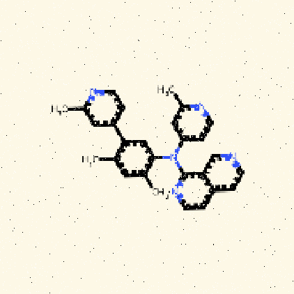 [CH2]c1cc(C)c(-c2ccnc(C)c2)cc1N(c1ccnc(C)c1)c1nccc2ccncc12